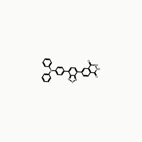 O=c1[nH][nH]c(=O)c2cc(-c3ccc(-c4ccc(N(c5ccccc5)c5ccccc5)cc4)c4nsnc34)ccc12